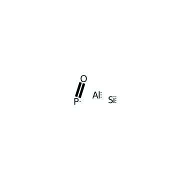 O=[P].[Al].[Si]